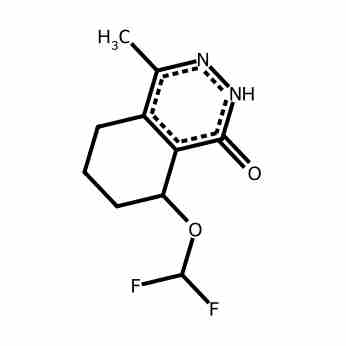 Cc1n[nH]c(=O)c2c1CCCC2OC(F)F